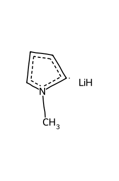 Cn1[c]ccc1.[LiH]